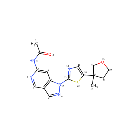 CC(=O)Nc1cc2c(cn1)cnn2-c1ncc(C2(C)CCOC2)s1